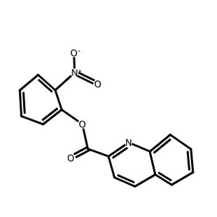 O=C(Oc1ccccc1[N+](=O)[O-])c1ccc2ccccc2n1